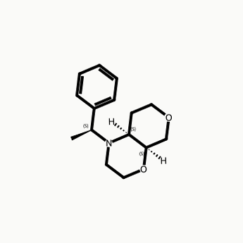 C[C@@H](c1ccccc1)N1CCO[C@@H]2COCC[C@@H]21